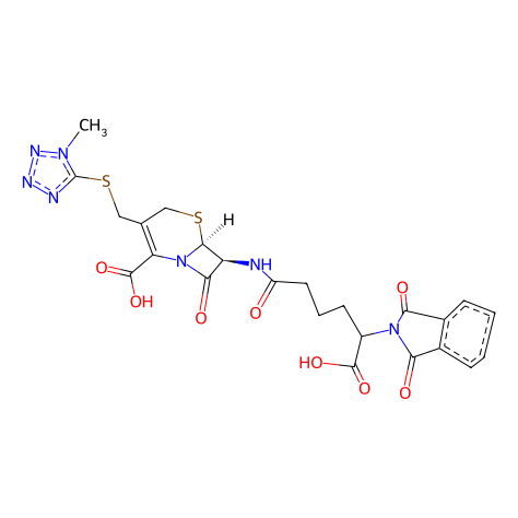 Cn1nnnc1SCC1=C(C(=O)O)N2C(=O)[C@H](NC(=O)CCCC(C(=O)O)N3C(=O)c4ccccc4C3=O)[C@@H]2SC1